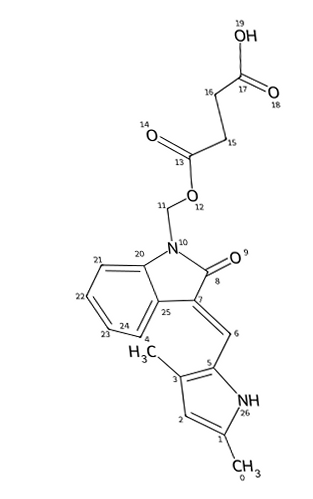 Cc1cc(C)c(C=C2C(=O)N(COC(=O)CCC(=O)O)c3ccccc32)[nH]1